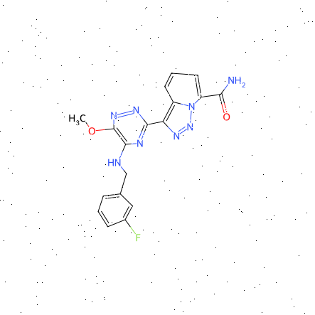 COc1nnc(-c2nnn3c(C(N)=O)cccc23)nc1NCc1cccc(F)c1